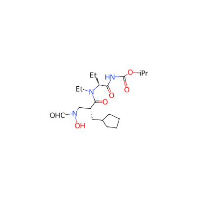 CC[C@@H](C(=O)NC(=O)OC(C)C)N(CC)C(=O)[C@H](CC1CCCC1)CN(O)C=O